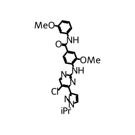 COc1cccc(NC(=O)c2ccc(Nc3ncc(Cl)c(-c4ccn(C(C)C)n4)n3)c(OC)c2)c1